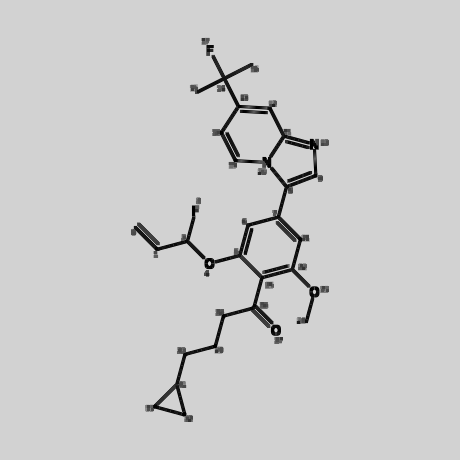 C=CC(F)Oc1cc(-c2cnc3cc(C(C)(C)F)ccn23)cc(OC)c1C(=O)CCCC1CC1